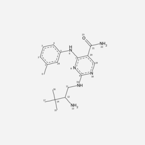 Cc1cccc(Nc2nc(NCC(N)C(C)(C)C)ncc2C(N)=O)c1